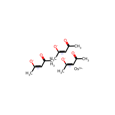 CC(=O)/C=C(/C)[O-].CC(=O)/C=C(/C)[O-].CC(=O)/C=C(/C)[O-].[Os+3]